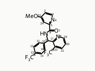 COc1ccnc(C(=O)NC(c2ccc(C(F)(F)F)cc2)c2ncccc2C(F)(F)F)c1